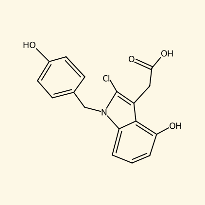 O=C(O)Cc1c(Cl)n(Cc2ccc(O)cc2)c2cccc(O)c12